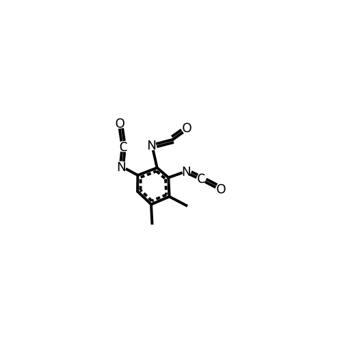 Cc1cc(N=C=O)c(N=C=O)c(N=C=O)c1C